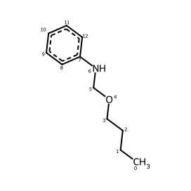 CCCCOCNc1ccccc1